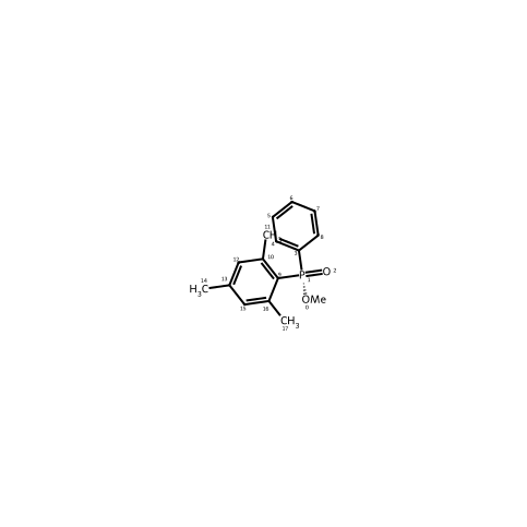 CO[P@@](=O)(c1ccccc1)c1c(C)cc(C)cc1C